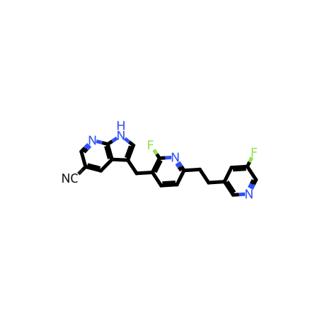 N#Cc1cnc2[nH]cc(Cc3ccc(CCc4cncc(F)c4)nc3F)c2c1